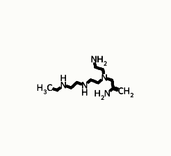 C=C(N)CN(CCN)CCNCCNCC